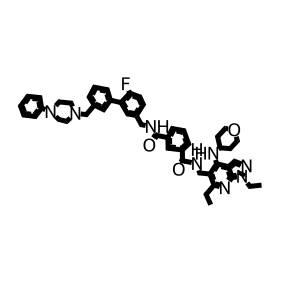 CCc1nc2c(cnn2CC)c(NC2CCOCC2)c1CNC(=O)c1cccc(C(=O)NCc2ccc(F)c(-c3cccc(CN4CCN(c5ccccc5)CC4)c3)c2)c1